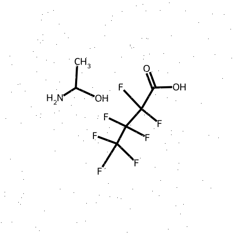 CC(N)O.O=C(O)C(F)(F)C(F)(F)C(F)(F)F